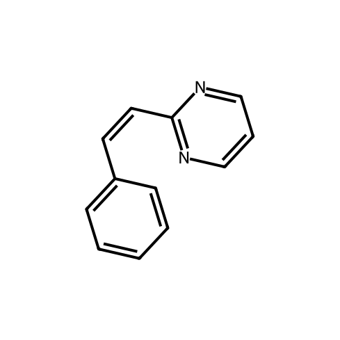 C(=C/c1ncccn1)/c1ccccc1